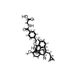 COC12CCC3(C[C@@H]1COCc1ccc(C(=O)NCC(=O)O)cc1)[C@H]1Cc4ccc(C)c5c4[C@@]3(CCN1CC1CC1)[C@H]2O5